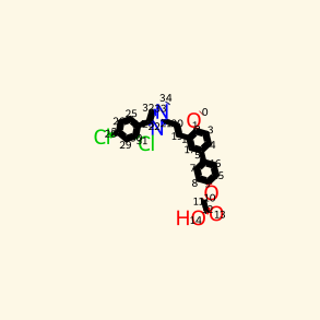 COc1ccc(-c2ccc(OCC(=O)O)cc2)cc1/C=C/c1nc(-c2ccc(Cl)cc2Cl)cn1C